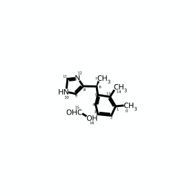 Cc1cccc([C@H](C)c2c[nH]cn2)c1C.O=CO